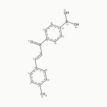 Cc1ccc(/C=C/C(=O)c2ccc(B(O)O)cc2)cc1